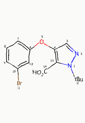 CC(C)(C)n1ncc(Oc2cccc(Br)c2)c1C(=O)O